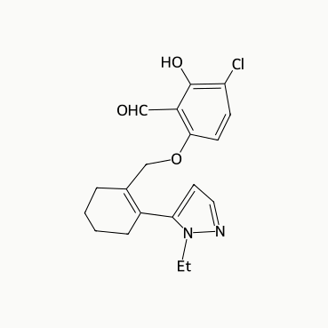 CCn1nccc1C1=C(COc2ccc(Cl)c(O)c2C=O)CCCC1